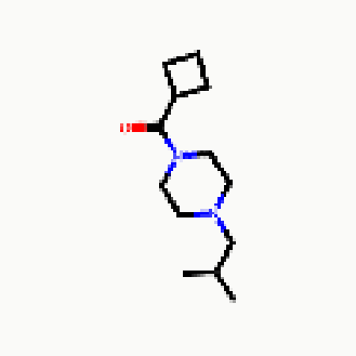 CC(C)CN1CCN(C(=O)C2CCC2)CC1